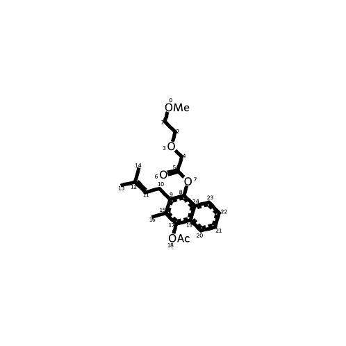 COCCOCC(=O)Oc1c(CC=C(C)C)c(C)c(OC(C)=O)c2ccccc12